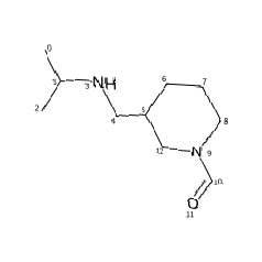 CC(C)NCC1CCCN(C=O)C1